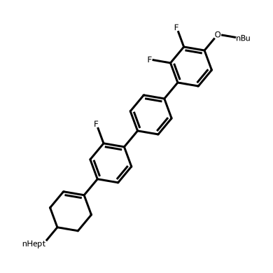 CCCCCCCC1CC=C(c2ccc(-c3ccc(-c4ccc(OCCCC)c(F)c4F)cc3)c(F)c2)CC1